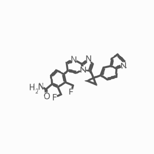 NC(=O)c1ccc(-c2cnc3ncc(C4(c5ccc6ncccc6c5)CC4)n3c2)c(CF)c1CF